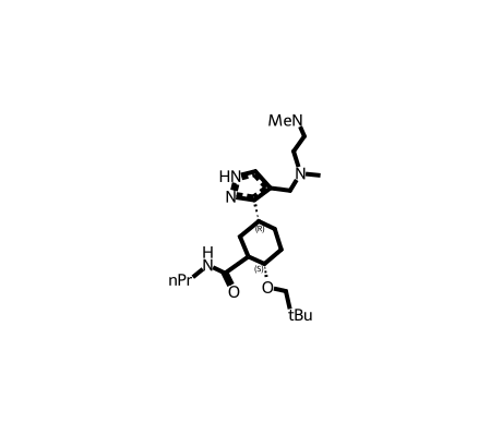 CCCNC(=O)C1C[C@H](c2n[nH]cc2CN(C)CCNC)CC[C@@H]1OCC(C)(C)C